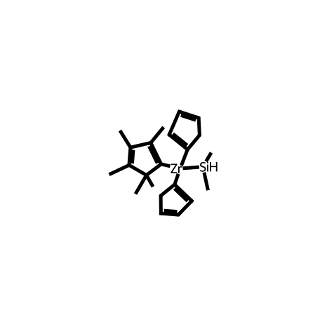 CC1=C(C)C(C)(C)[C]([Zr]([C]2=CC=CC2)([C]2=CC=CC2)[SiH](C)C)=C1C